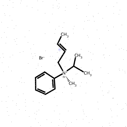 C/C=C/C[N@+](C)(c1ccccc1)C(C)C.[Br-]